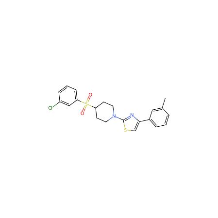 Cc1cccc(-c2csc(N3CCC(S(=O)(=O)c4cccc(Cl)c4)CC3)n2)c1